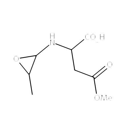 COC(=O)CC(NC1OC1C)C(=O)O